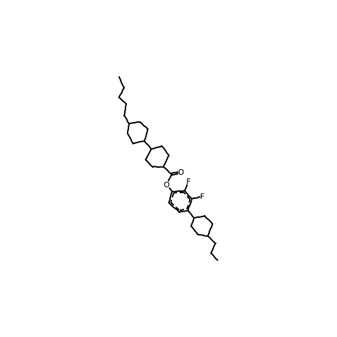 CCCCCC1CCC(C2CCC(C(=O)Oc3ccc(C4CCC(CCC)CC4)c(F)c3F)CC2)CC1